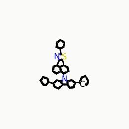 c1ccc(-c2ccc3c4ccc(-c5ccccc5)cc4n(-c4ccc5c6c(cccc46)-c4nc(-c6ccccc6)sc4-5)c3c2)cc1